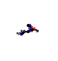 CN(CCc1ccc(NC(=O)c2ccc(C(=O)OCc3cncs3)cc2NC(=O)c2cnc3ccccc3c2)cc1)Cc1ccc2c(cnn2C)c1